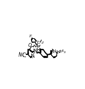 CC(NC(=O)c1cc(C#N)cnc1NCc1ccc(-c2ccc(N)nc2)cc1F)c1ccc(F)cc1